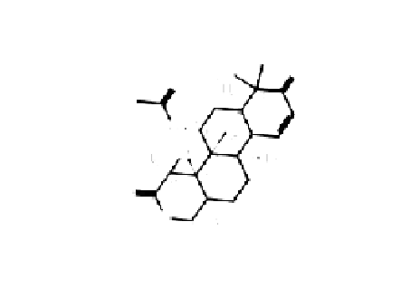 CC(=O)O[C@@H]1C[C@@H]2C(C=CC(=O)C2(C)C)[C@H]2CC[C@@]3(C)COC(=O)[C@H]4O[C@]43[C@@]21C